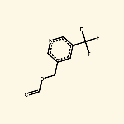 O=[C]OCc1cncc(C(F)(F)F)c1